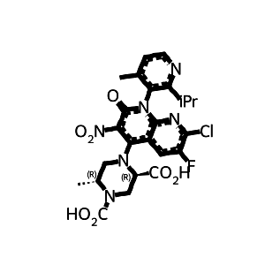 Cc1ccnc(C(C)C)c1-n1c(=O)c([N+](=O)[O-])c(N2C[C@@H](C)N(C(=O)O)C[C@@H]2C(=O)O)c2cc(F)c(Cl)nc21